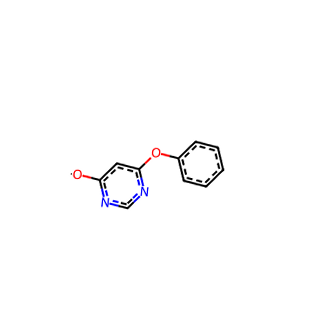 [O]c1cc(Oc2ccccc2)ncn1